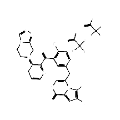 O=C(C1=NC=CC/C1=[N+]1\CCn2cnnc2C1)c1cc(Cc2c[nH]c(=O)c3cc(Cl)c(Cl)n23)ccc1F.O=C(O)C(F)(F)F.O=C([O-])C(F)(F)F